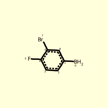 Bc1ccc(F)c(Br)c1